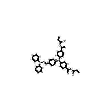 C=CC(=O)OC(=C)c1ccc(N(c2ccc(C=NN(c3ccccc3)c3ccccc3)cc2)c2ccc(C(=C)OC(=O)C=C)cc2)cc1